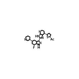 CC(=O)c1ccc(-c2ccnc3[nH]c(-c4n[nH]c5c(F)cc(-c6cccnc6)cc45)nc23)s1